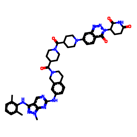 Cc1cccc(C)c1Nc1nn(C)c2nc(Nc3ccc4c(c3)CN(C(=O)C3CCN(C(=O)C5CCN(c6ccc7c(=O)n(C8CCC(=O)NC8=O)nnc7c6)CC5)CC3)CC4)ncc12